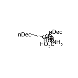 CCCCCCCCCCCCCCCCCCCCOC[C@H](COP(=O)(O)OC[C@H](N)C(=O)O)OC(=O)CCCCCCCCCCCC